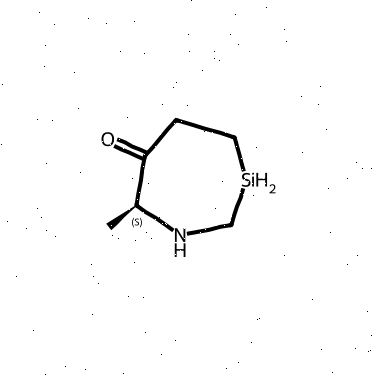 C[C@@H]1NC[SiH2]CCC1=O